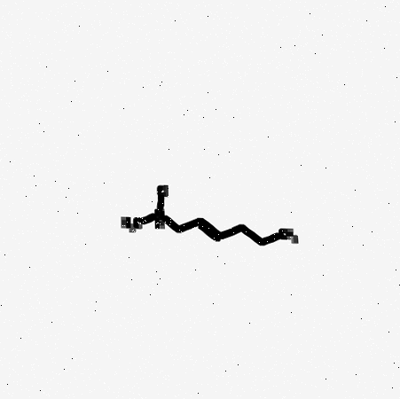 C[SiH](Cl)CC=CCCC(F)(F)F